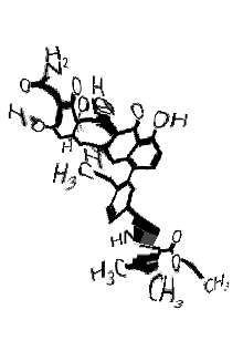 CCOC(=O)C(NCc1ccc(CC)c(-c2ccc(O)c3c2C[C@H]2C[C@H]4CC(O)=C(C(N)=O)C(=O)[C@@]4(O)C(O)=C2C3=O)c1)C(C)C